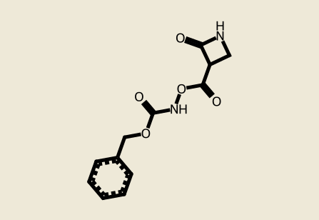 O=C(NOC(=O)C1CNC1=O)OCc1ccccc1